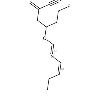 C=C(C#N)CC(CCF)O/C=N/C=C\CC